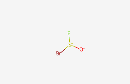 [O-][S+](F)Br